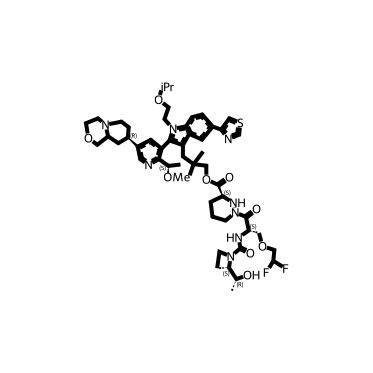 CO[C@@H](C)c1ncc([C@@H]2CCN3CCOCC3C2)cc1-c1c(CC(C)(C)COC(=O)[C@@H]2CCCN(C(=O)[C@H](COCC(F)F)NC(=O)N3CC[C@H]3[C@@H](C)O)N2)c2cc(-c3cscn3)ccc2n1CCOC(C)C